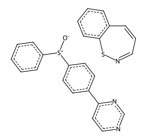 C1=Cc2ccccc2SN=C1.[O-][S+](c1ccccc1)c1ccc(-c2ccncn2)cc1